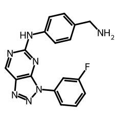 NCc1ccc(Nc2ncc3nnn(-c4cccc(F)c4)c3n2)cc1